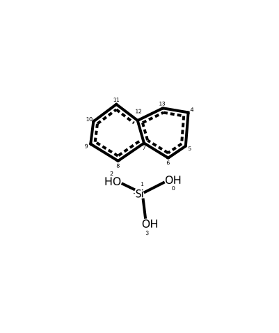 O[Si](O)O.c1ccc2ccccc2c1